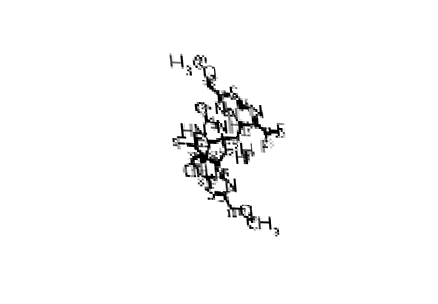 [2H]C(c1c(C(F)F)nc2sc(COC)nn12)C1(C([2H])c2c(C(F)F)nc3sc(COC)nn23)NC(=O)NC1CCC